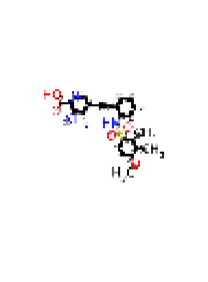 COc1ccc(S(=O)(=O)Nc2ccccc2C#Cc2cnc(C(=O)O)c(N)c2)c(C)c1C